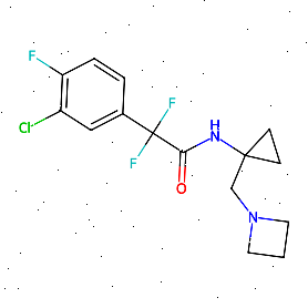 O=C(NC1(CN2CCC2)CC1)C(F)(F)c1ccc(F)c(Cl)c1